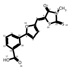 CN1C(=O)C(=Cc2ccc(-c3cccc(C(=O)O)c3)o2)SC1=S